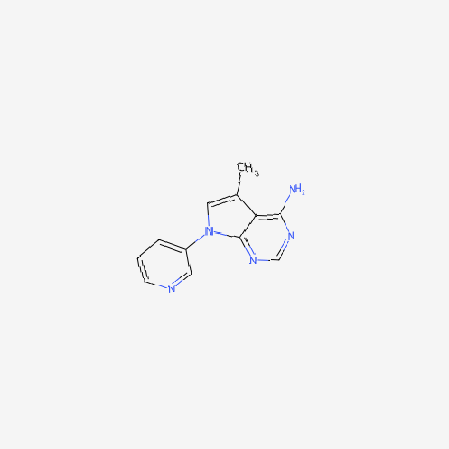 Cc1cn(-c2cccnc2)c2ncnc(N)c12